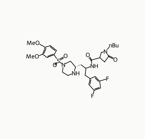 CCCCN1CC(C(=O)NC(Cc2cc(F)cc(F)c2)C[C@H]2CN(S(=O)(=O)c3ccc(OC)c(OC)c3)CCN2)CC1=O